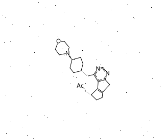 CC(=O)C[C@H]1CCC2=C1c1c(ncnc1C[C@H]1CC[C@H](N3CCOCC3)CC1)C2